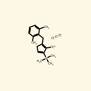 Cc1cccc(C)c1CC1=[C]([Ti+3])C([Si](C)(C)C)=CC1.[Cl-].[Cl-].[Cl-]